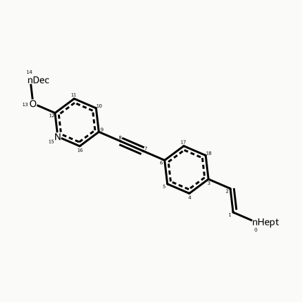 CCCCCCCC=Cc1ccc(C#Cc2ccc(OCCCCCCCCCC)nc2)cc1